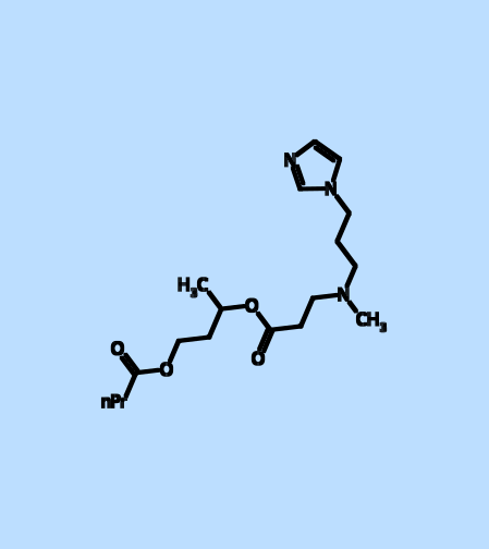 CCCC(=O)OCCC(C)OC(=O)CCN(C)CCCn1ccnc1